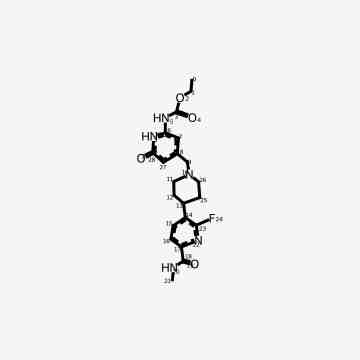 CCOC(=O)Nc1cc(CN2CCC(c3ccc(C(=O)NC)nc3F)CC2)cc(=O)[nH]1